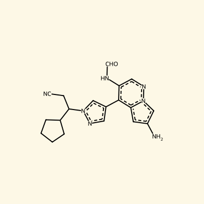 N#CCC(C1CCCC1)n1cc(-c2c(NC=O)cnn3cc(N)cc23)cn1